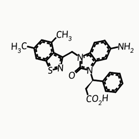 Cc1cc(C)c2c(Cn3c(=O)n([C@H](CC(=O)O)c4ccccc4)c4cc(N)ccc43)nsc2c1